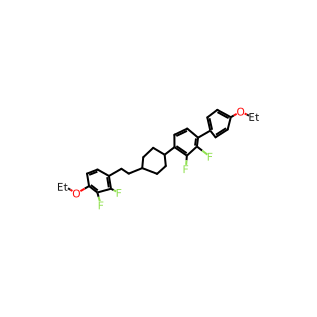 CCOc1ccc(-c2ccc(C3CCC(CCc4ccc(OCC)c(F)c4F)CC3)c(F)c2F)cc1